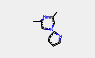 Cc1cncc(C)n1.c1ccncc1